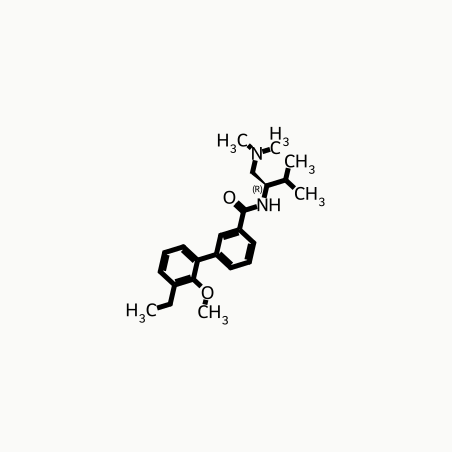 CCc1cccc(-c2cccc(C(=O)N[C@@H](CN(C)C)C(C)C)c2)c1OC